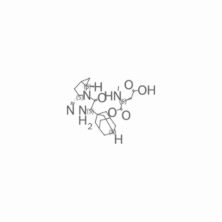 CN[C@@H](CC(=O)O)C(=O)OC12CC3C[C@H](C1)CC([C@H](N)C(=O)N1[C@H](C#N)CC4C[C@@H]41)(C3)C2